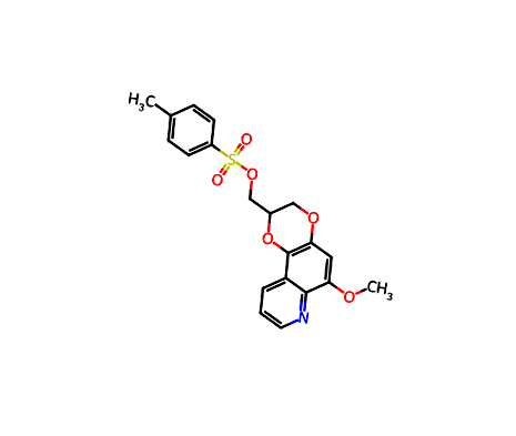 COc1cc2c(c3cccnc13)OC(COS(=O)(=O)c1ccc(C)cc1)CO2